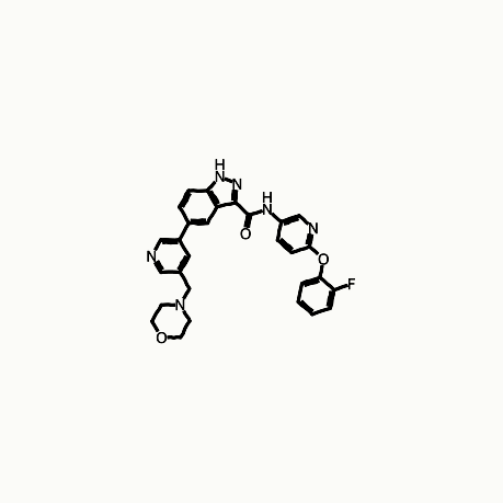 O=C(Nc1ccc(Oc2ccccc2F)nc1)c1n[nH]c2ccc(-c3cncc(CN4CCOCC4)c3)cc12